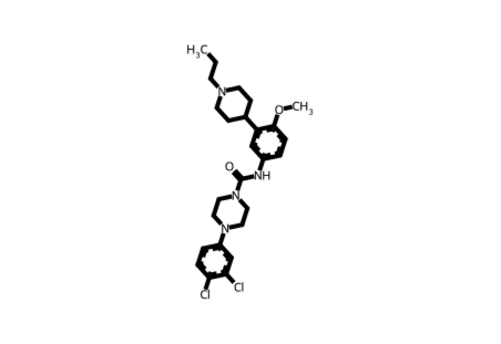 CCCN1CCC(c2cc(NC(=O)N3CCN(c4ccc(Cl)c(Cl)c4)CC3)ccc2OC)CC1